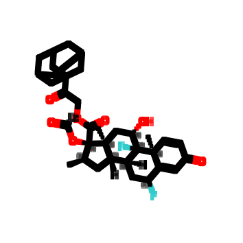 CCC(=O)O[C@]1(C(=O)OCC(=O)C23CC4CC(CC(C4)C2)C3)[C@H](C)C[C@H]2[C@@H]3C[C@H](F)C4=CC(=O)C=C[C@]4(C)[C@@]3(F)[C@@H](O)C[C@@]21C